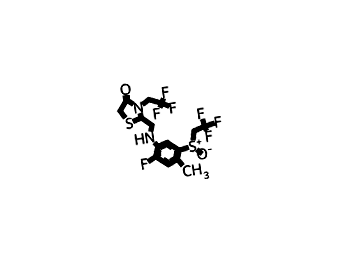 Cc1cc(F)c(NCC2SCC(=O)N2CC(F)(F)F)cc1[S+]([O-])CC(F)(F)F